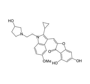 COc1ccc2c(c1)c(C=C1Oc3cc(O)cc(O)c3C1=O)c(C1CC1)n2CCN1CCC(O)C1